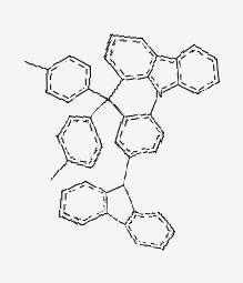 Cc1ccc(C2(c3ccc(C)cc3)c3cc(C4c5ccccc5-c5ccccc54)ccc3-n3c4ccccc4c4cccc2c43)cc1